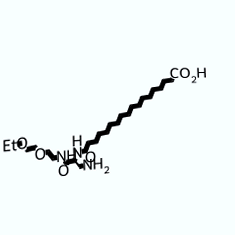 CCOCCOCCNC(=O)[C@H](CN)NC(=O)CCCCCCCCCCCCCCCCC(=O)O